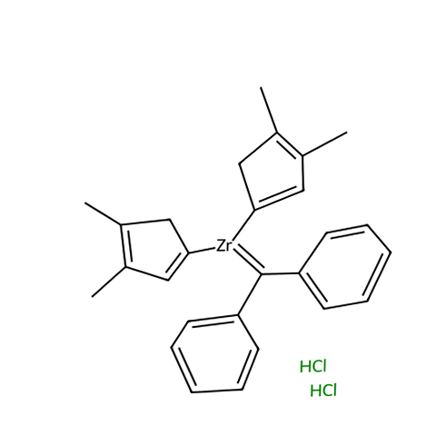 CC1=C(C)C[C]([Zr]([C]2=CC(C)=C(C)C2)=[C](c2ccccc2)c2ccccc2)=C1.Cl.Cl